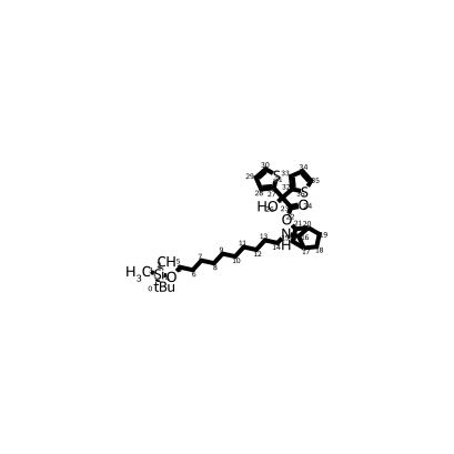 CC(C)(C)[Si](C)(C)OCCCCCCCCCCNC1C2CCC1C(OC(=O)C(O)(c1cccs1)c1cccs1)C2